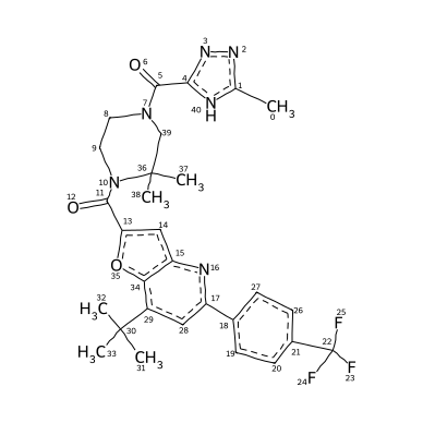 Cc1nnc(C(=O)N2CCN(C(=O)c3cc4nc(-c5ccc(C(F)(F)F)cc5)cc(C(C)(C)C)c4o3)C(C)(C)C2)[nH]1